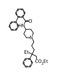 CCOC(=O)CC(CC)(CCCN1CCC(NC(=O)c2ccccc2-c2ccccc2)CC1)c1ccccc1